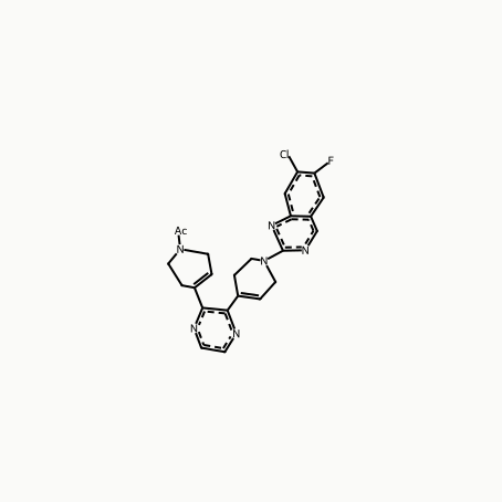 CC(=O)N1CC=C(c2nccnc2C2=CCN(c3ncc4cc(F)c(Cl)cc4n3)CC2)CC1